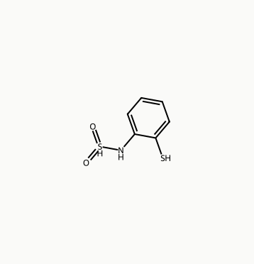 O=[SH](=O)Nc1ccccc1S